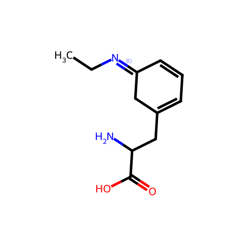 CC/N=C1/C=CC=C(CC(N)C(=O)O)C1